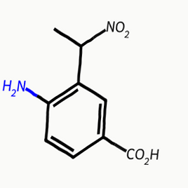 CC(c1cc(C(=O)O)ccc1N)[N+](=O)[O-]